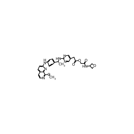 COc1nccc2ccc(Nc3ccc(C(C)Nc4ncc(CC(=O)OCC(=O)NC5COC5)cn4)cc3)nc12